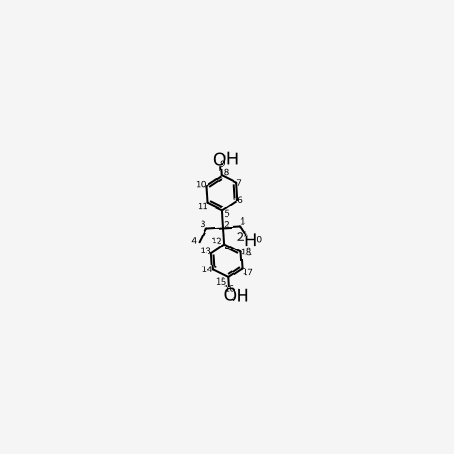 [2H]CC(CC)(c1ccc(O)cc1)c1ccc(O)cc1